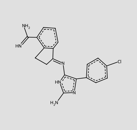 N=C(N)c1cccc2c1CCC2=Nc1[nH]c(N)nc1-c1ccc(Cl)cc1